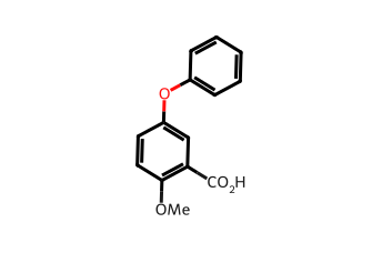 COc1ccc(Oc2ccccc2)cc1C(=O)O